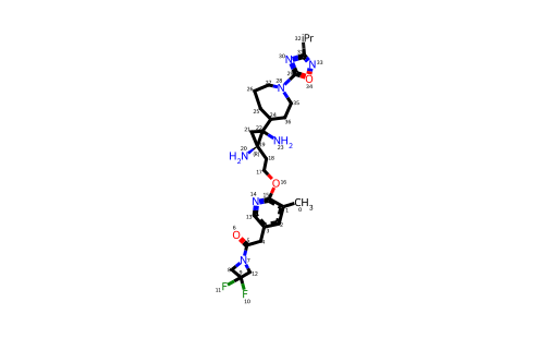 Cc1cc(CC(=O)N2CC(F)(F)C2)cnc1OCC[C@]1(N)CC1(N)C1CCCN(c2nc(C(C)C)no2)CC1